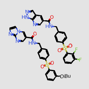 CC(C)COc1cccc(S(=O)(=O)c2ccc(CNC(=O)c3cnc4nccn4c3)cc2)c1.O=C(NCc1ccc(S(=O)(=O)c2cccc(F)c2F)cc1)c1cnc2[nH]ncc2c1